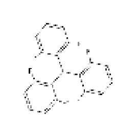 Fc1cccc(F)c1C(c1c(F)cccc1F)c1c(F)cccc1F